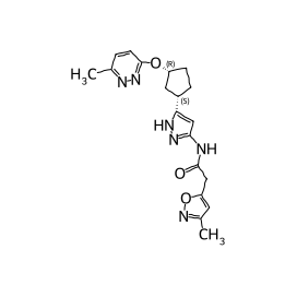 Cc1ccc(O[C@@H]2CC[C@H](c3cc(NC(=O)Cc4cc(C)no4)n[nH]3)C2)nn1